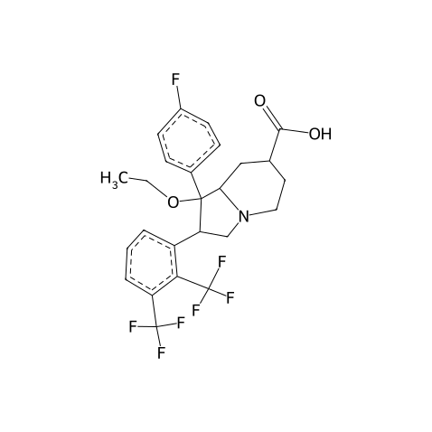 CCOC1(c2ccc(F)cc2)C(c2cccc(C(F)(F)F)c2C(F)(F)F)CN2CCC(C(=O)O)CC21